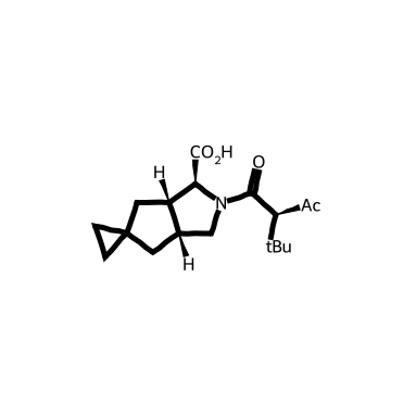 CC(=O)[C@H](C(=O)N1C[C@@H]2CC3(CC3)C[C@@H]2[C@H]1C(=O)O)C(C)(C)C